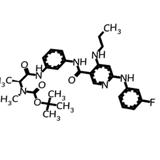 CCCNc1cc(Nc2cccc(F)c2)ncc1C(=O)Nc1cccc(NC(=O)[C@H](C)N(C)C(=O)OC(C)(C)C)c1